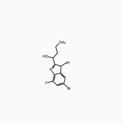 CC(=O)OCCC(O)c1nc2c(F)cc(Br)cc2n1C(C)C